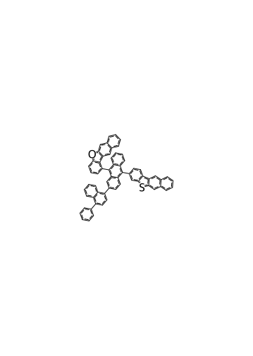 c1ccc(-c2ccc(-c3ccc4c(-c5ccc6c(c5)sc5cc7ccccc7cc56)c5ccccc5c(-c5cccc6oc7cc8ccccc8cc7c56)c4c3)c3ccccc23)cc1